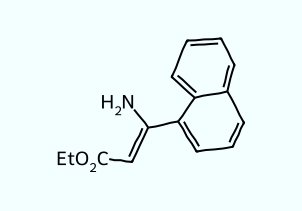 CCOC(=O)C=C(N)c1cccc2ccccc12